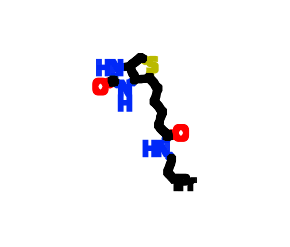 CC(C)CCNC(=O)CCCCC1SCC2NC(=O)NC21